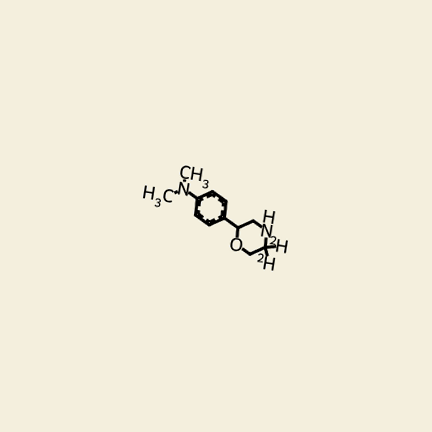 [2H]C1([2H])COC(c2ccc(N(C)C)cc2)CN1